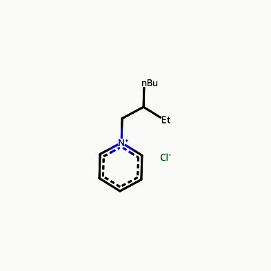 CCCCC(CC)C[n+]1ccccc1.[Cl-]